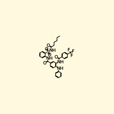 CCCCCC(=O)NS(=O)(=O)c1ccccc1NC(=O)c1ccc(Nc2ccccc2)c(NC(=O)c2ccc(C(F)(F)F)cc2)c1